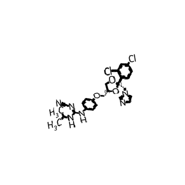 CC(C)NC(=NC#N)Nc1ccc(OC[C@@H]2CO[C@@](Cn3ccnc3)(c3ccc(Cl)cc3Cl)O2)cc1